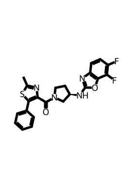 Cc1nc(C(=O)N2CC[C@@H](Nc3nc4ccc(F)c(F)c4o3)C2)c(-c2ccccc2)s1